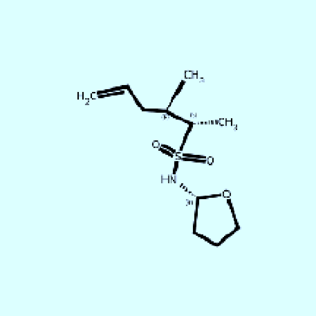 C=CC[C@@H](C)[C@H](C)S(=O)(=O)N[C@H]1CCCO1